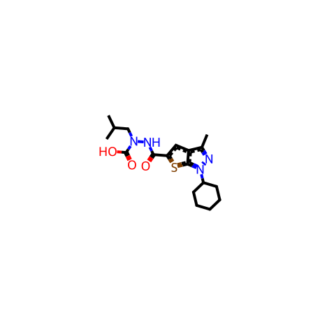 Cc1nn(C2CCCCC2)c2sc(C(=O)NN(CC(C)C)C(=O)O)cc12